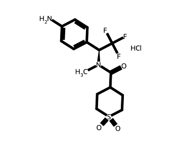 CN(C(=O)C1CCS(=O)(=O)CC1)[C@@H](c1ccc(N)cc1)C(F)(F)F.Cl